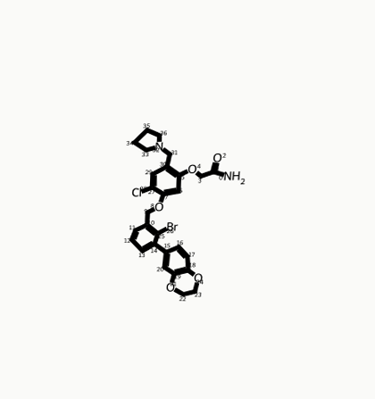 NC(=O)COc1cc(OCc2cccc(-c3ccc4c(c3)OCCO4)c2Br)c(Cl)cc1CN1CCCC1